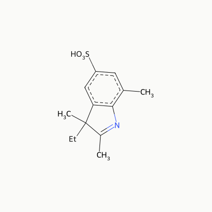 CCC1(C)C(C)=Nc2c(C)cc(S(=O)(=O)O)cc21